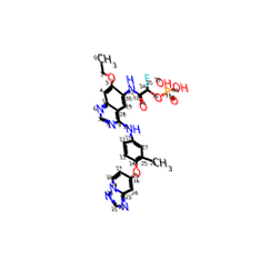 CCOc1cc2ncnc(Nc3ccc(Oc4ccn5ncnc5c4)c(C)c3)c2cc1NC(=O)C(F)OP(=O)(O)O